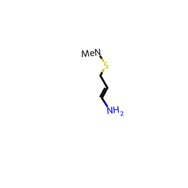 CNSCC=CN